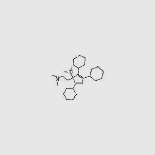 CN(C)CC[C]1([Ti]([CH3])[CH3])C(C2CCCCC2)=CC(C2CCCCC2)=C1C1CCCCC1